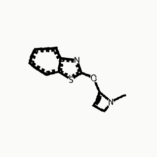 CN1CC=C1Oc1nc2ccccc2s1